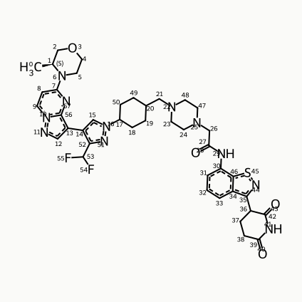 C[C@H]1COCCN1c1ccn2ncc(-c3cn(C4CCC(CN5CCN(CC(=O)Nc6cccc7c(C8CCC(=O)NC8=O)nsc67)CC5)CC4)nc3C(F)F)c2n1